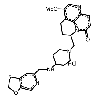 COc1cnc2ccc(=O)n3c2c1CCC3CN1CCC(NCc2cc3c(cn2)OCS3)CC1.Cl